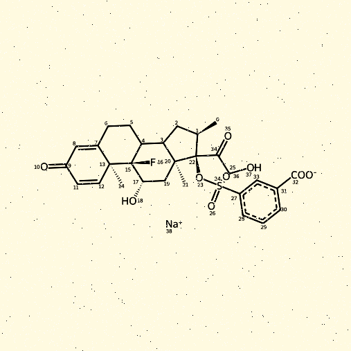 C[C@@H]1CC2C3CCC4=CC(=O)C=C[C@]4(C)[C@@]3(F)[C@@H](O)C[C@]2(C)[C@@]1(OS(=O)(=O)c1cccc(C(=O)[O-])c1)C(=O)CO.[Na+]